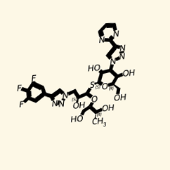 C[C@@H](O)C(CO)OC(S[C@@H]1O[C@H](CO)C(O)C(n2cc(-c3ncccn3)nn2)C1O)[C@@H](O)Cn1cc(-c2cc(F)c(F)c(F)c2)nn1